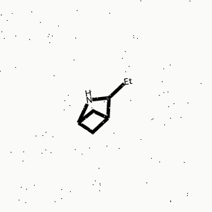 CCC1NC2CC1C2